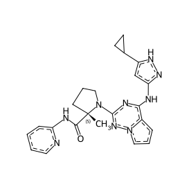 C[C@@]1(C(=O)Nc2ccccn2)CCCN1c1nc(Nc2cc(C3CC3)[nH]n2)c2cccn2n1